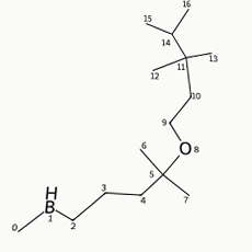 CBCCCC(C)(C)OCCC(C)(C)C(C)C